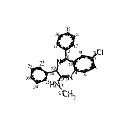 CNC1=Nc2ccc(Cl)cc2C(c2ccccc2)=NC1c1ccccc1